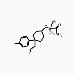 CC(C)(C)[Si](C)(OC1CCC([CH]CF)(c2ccc(F)cc2)CC1)C(N)=O